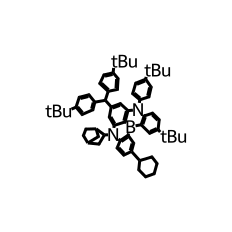 CC(C)(C)c1ccc(C(c2ccc(C(C)(C)C)cc2)c2cc3c4c(c2)N(C2CC5CCC2C5)c2ccc(C5CCCCC5)cc2B4c2cc(C(C)(C)C)ccc2N3c2ccc(C(C)(C)C)cc2)cc1